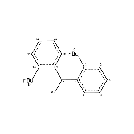 CCCCc1ccccc1C(C)c1ccccc1CCCC